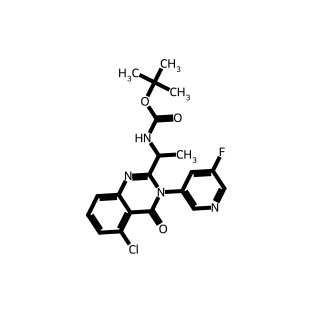 CC(NC(=O)OC(C)(C)C)c1nc2cccc(Cl)c2c(=O)n1-c1cncc(F)c1